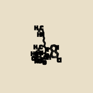 CCNCCCC(C)N(C(=O)NC(P(=O)(O)O)P(=O)(O)O)c1ccnc2cc(Cl)ccc12